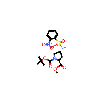 COC(=O)[C@@H]1C[C@@H](NS(=O)(=O)c2ccccc2[N+](=O)[O-])CN1C(=O)OC(C)(C)C